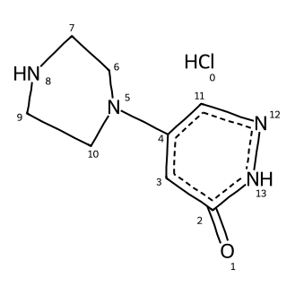 Cl.O=c1cc(N2CCNCC2)cn[nH]1